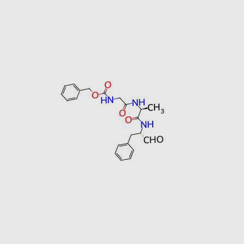 C[C@H](NC(=O)CNC(=O)OCc1ccccc1)C(=O)N[C@H](C=O)Cc1ccccc1